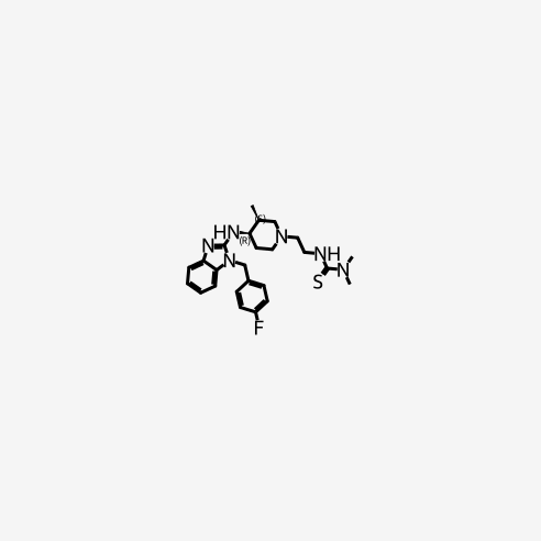 C[C@H]1CN(CCNC(=S)N(C)C)CC[C@H]1Nc1nc2ccccc2n1Cc1ccc(F)cc1